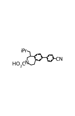 CC(C)CC1CN(C(=O)O)CCc2cc(-c3ccc(C#N)cc3)ccc21